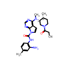 Cc1ccc(NC(=O)n2ccc3c(N(C)[C@H]4CN(C(=O)CC#N)CC[C@H]4C)ncnc32)c(N)c1